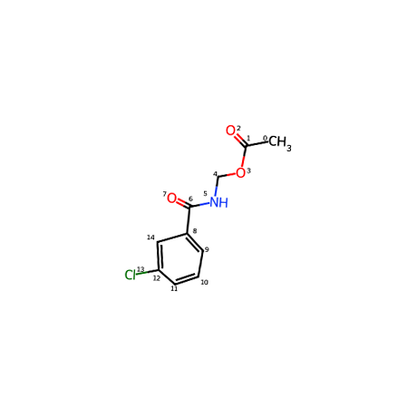 CC(=O)OCNC(=O)c1cccc(Cl)c1